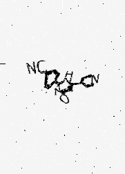 N#Cc1ccc(-c2nc(=O)cc(-c3ccncc3)[nH]2)cc1